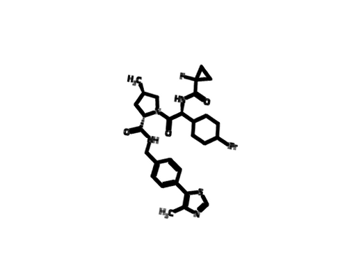 Cc1ncsc1-c1ccc(CNC(=O)[C@@H]2C[C@@H](C)CN2C(=O)[C@@H](NC(=O)C2(F)CC2)C2CCC(C(C)C)CC2)cc1